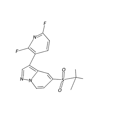 CC(C)(C)S(=O)(=O)c1ccn2ncc(-c3ccc(F)nc3F)c2c1